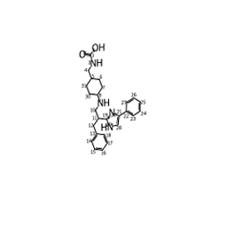 O=C(O)NCC1CCC(NCC(Cc2ccccc2)c2nc(-c3ccccc3)c[nH]2)CC1